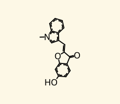 Cn1cc(C=C2Oc3cc(O)ccc3C2=O)c2ccccc21